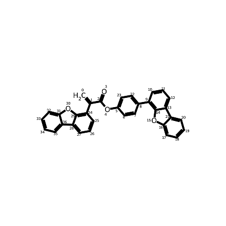 C=C(C(=O)Oc1ccc(-c2cccc3c2oc2ccccc23)cc1)c1cccc2c1oc1ccccc12